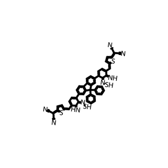 N#CC(C#N)=c1cc/c(=C\C2=CC=C(c3ccc4c(c3)C(c3ccccc3)(c3ccccc3)c3cc(C5=CC=C(/C=c6\ccc(=C(C#N)C#N)s6)C(=N)/C5=N\S)ccc3-4)/C(=N/S)C2=N)s1